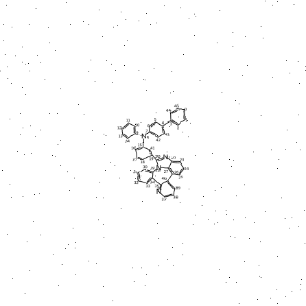 c1ccc(-c2ccc(N(c3ccccc3)c3cccc(-c4nc5cccc6c5n4-c4ccccc4-c4ncccc4-6)c3)cc2)cc1